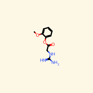 COc1ccccc1OC(=O)CNC(=N)N